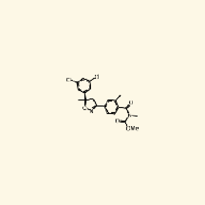 COC(=O)N(C)C(=O)c1ccc(C2=NOC(C)(c3cc(Cl)cc(Cl)c3)C2)cc1C